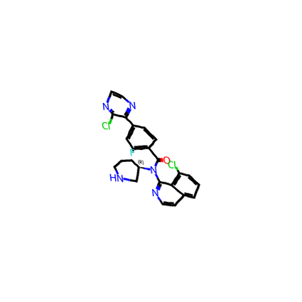 O=C(c1ccc(-c2nccnc2Cl)cc1F)N(c1nccc2cccc(Cl)c12)[C@@H]1CCCNC1